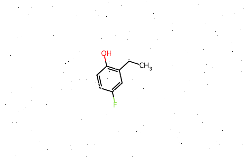 C[CH]c1cc(F)ccc1O